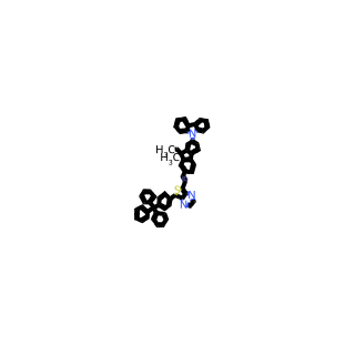 CCC1(C)c2cc(/C=C/C3=C4N=CC=NC4C(c4ccc(C(c5ccccc5)(c5ccccc5)c5ccccc5)cc4)S3)ccc2-c2ccc(-n3c4ccccc4c4ccccc43)cc21